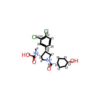 CN(C(=O)O)[C@H]1CN(C(=O)[C@H]2CC[C@H](O)CC2)C[C@@H]1c1ccc(Cl)c(Cl)c1